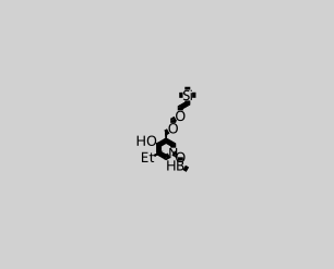 CBON1C[C@@H](CC)[C@H](O)[C@@H](COCOCC[Si](C)(C)C)C1